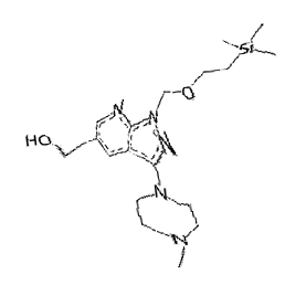 CN1CCN(c2nn(COCC[Si](C)(C)C)c3ncc(CO)cc23)CC1